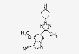 COc1cc(-c2nn(C3CCNCC3)nc2C)cn2ncc(C#N)c12